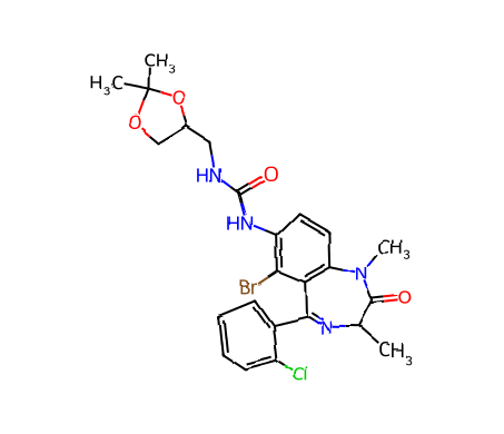 CC1N=C(c2ccccc2Cl)c2c(ccc(NC(=O)NCC3COC(C)(C)O3)c2Br)N(C)C1=O